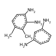 Cc1ccc(N)c(N)c1C.Nc1cccc(N)c1